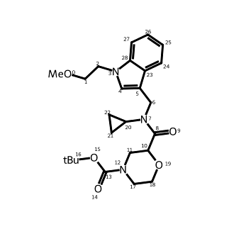 COCCn1cc(CN(C(=O)C2CN(C(=O)OC(C)(C)C)CCO2)C2CC2)c2ccccc21